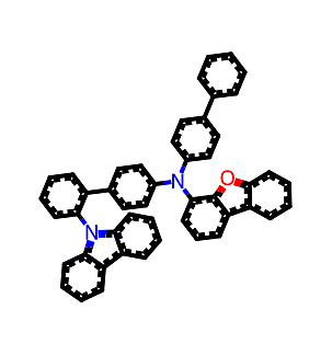 c1ccc(-c2ccc(N(c3ccc(-c4ccccc4-n4c5ccccc5c5ccccc54)cc3)c3cccc4c3oc3ccccc34)cc2)cc1